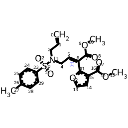 C=CCN(C/C=C(/C(=O)OC)c1occc1C(=O)OC)S(=O)(=O)c1ccc(C)cc1